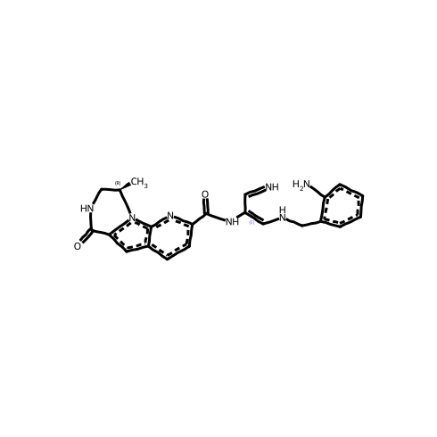 C[C@@H]1CNC(=O)c2cc3ccc(C(=O)N/C(C=N)=C/NCc4ccccc4N)nc3n21